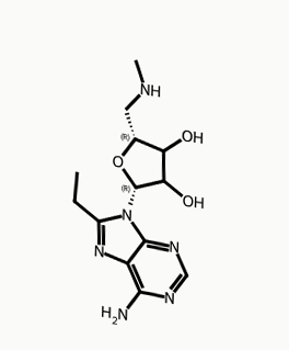 CCc1nc2c(N)ncnc2n1[C@@H]1O[C@H](CNC)C(O)C1O